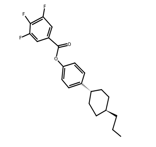 CCC[C@H]1CC[C@H](c2ccc(OC(=O)c3cc(F)c(F)c(F)c3)cc2)CC1